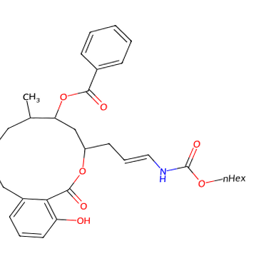 CCCCCCOC(=O)N/C=C/CC1CC(OC(=O)c2ccccc2)C(C)C/C=C\Cc2cccc(O)c2C(=O)O1